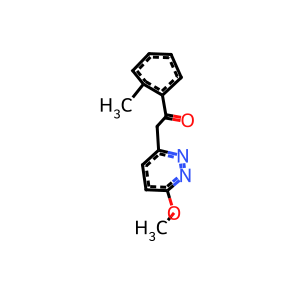 COc1ccc(CC(=O)c2ccccc2C)nn1